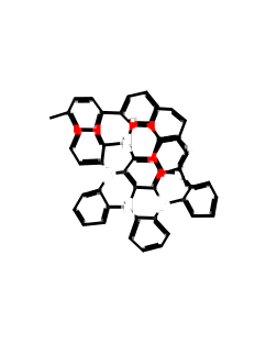 Cc1ccc(-c2cccc(-c3ccc(C)cc3)c2N2c3ccccc3B3c4ccccc4N4c5ccccc5B5c6ccccc6Sc6c5c4c3c2c6-c2c(F)cccc2F)cc1